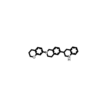 c1ccc2c(c1)CC(c1ccc3c(c1)CCN(c1ccc4c(c1)OCCC4)C3)CN2